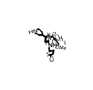 COCC(C)(C)C(=O)n1nc(C2CCNCC2)cc1NCc1ccc(Cl)s1